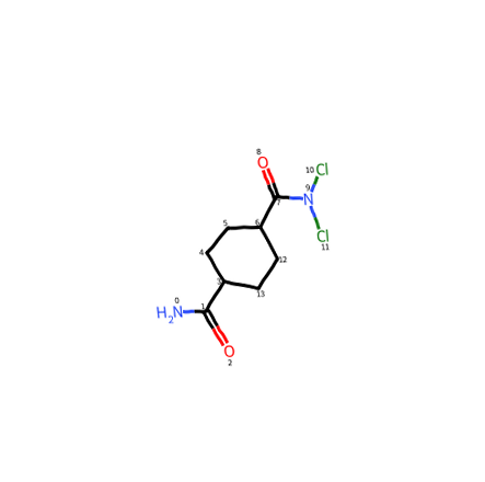 NC(=O)C1CCC(C(=O)N(Cl)Cl)CC1